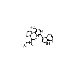 CN(CC(F)(F)F)C(=O)[C@H]1CCCN1c1nc(C2=CNC3=NC=CCC23)ncc1O